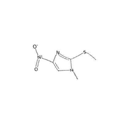 CSc1nc([N+](=O)[O-])cn1C